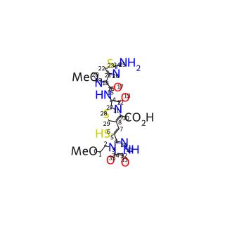 COCCn1c(C(S)=CC2=C(C(=O)O)N3C(=O)C(NC(=O)C(=NOC)c4csc(N)n4)C3SC2)n[nH]c(=O)c1=O